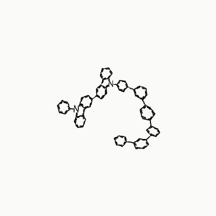 c1ccc(-c2cccc(-c3cccc(-c4ccc(-c5cccc(-c6ccc(-n7c8ccccc8c8cc(-c9ccc%10c(c9)c9ccccc9n%10-c9ccccc9)ccc87)cc6)c5)cc4)c3)c2)cc1